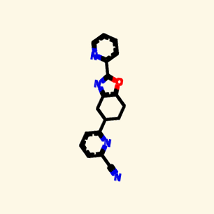 N#Cc1cccc(C2CCc3oc(-c4ccccn4)nc3C2)n1